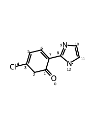 O=C1CC(Cl)=CC=C1C1=NC=C[N]1